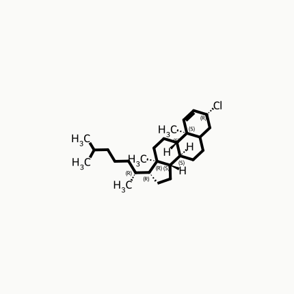 CC(C)CCC[C@@H](C)[C@H]1CC[C@H]2[C@@H]3CCC4C[C@@H](Cl)C=C[C@]4(C)[C@H]3CC[C@]12C